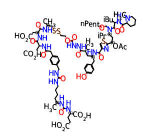 CCCCCOCN(C(=O)C(NC(=O)C1CCCCN1C)C(C)CC)[C@H](C[C@@H](OC(C)=O)c1nc(C(=O)N[C@@H](Cc2ccc(O)cc2)CC(C)C(=O)NNC(=O)OCCSSC[C@@H](C)NC(=O)[C@H](CC(=O)O)NC(=O)C(CC(=O)O)NC(=O)Cc2ccc(CNC(=O)NCCCC[C@@H](C)NC(=O)N[C@@H](CCC(=O)O)C(=O)O)cc2)cs1)C(C)C